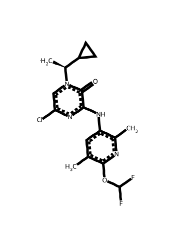 [CH2][C@@H](C1CC1)n1cc(Cl)nc(Nc2cc(C)c(OC(F)F)nc2C)c1=O